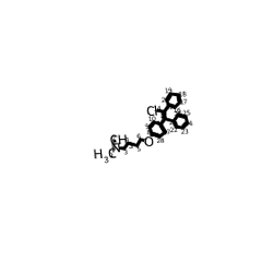 CN(C)CCCCOc1ccc(C(=C(Cl)c2ccccc2)c2ccccc2)cc1